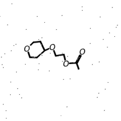 CC(=O)OCCOC1CCOCC1